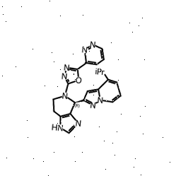 CC(C)c1cccn2nc([C@H]3c4nc[nH]c4CCN3c3nnc(-c4cccnn4)o3)cc12